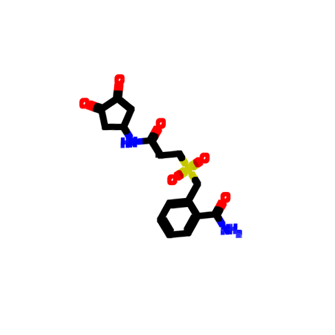 NC(=O)c1ccccc1CS(=O)(=O)C[CH]C(=O)NC1CC(=O)C(=O)C1